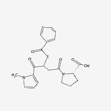 Cn1cccc1C(=O)C(CC(=O)N1CCC[C@H]1C(=O)O)SC(=O)c1ccccc1